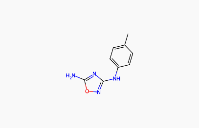 Cc1ccc(Nc2noc(N)n2)cc1